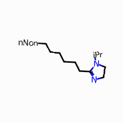 CCCCCCCCCCCCCCCC1=NCCN1C(C)C